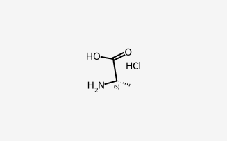 C[C@H](N)C(=O)O.Cl